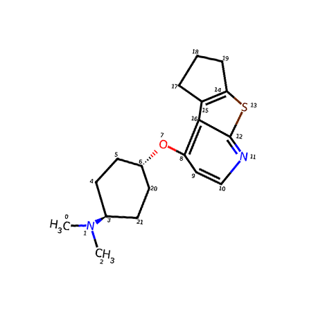 CN(C)[C@H]1CC[C@H](Oc2ccnc3sc4c(c23)CCC4)CC1